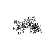 COc1ccc(N(c2ccc(OC)cc2OC)S(=O)(=O)c2ccc(CC(Cc3ccc(C(F)(F)P(=O)(OC(C)(C)C)OC(C)(C)C)cc3)(C(=O)c3ccccc3)c3ccccc3)cc2)c(OC)c1